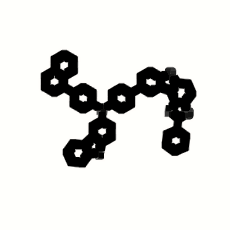 c1ccc(-c2nc3c(ccc4oc5ccc(-c6ccc(N(c7ccc(-c8cccc9ccccc89)cc7)c7ccc8sc9ccccc9c8c7)cc6)cc5c43)o2)cc1